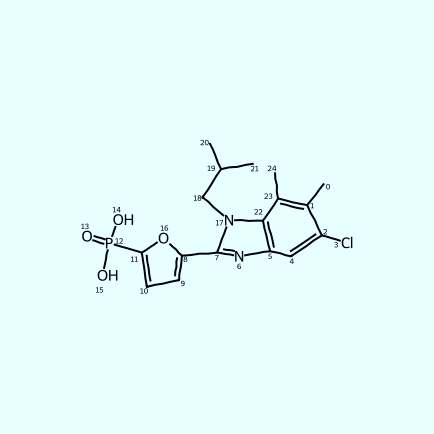 Cc1c(Cl)cc2nc(-c3ccc(P(=O)(O)O)o3)n(CC(C)C)c2c1C